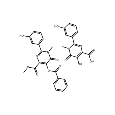 COC(=O)c1nc(-c2cccc(O)c2)n(C)c(=O)c1OC(=O)c1ccccc1.Cn1c(-c2cccc(O)c2)nc(C(=O)O)c(O)c1=O